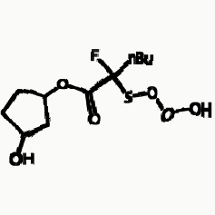 CCCCC(F)(SOOO)C(=O)OC1CCC(O)C1